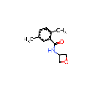 Cc1ccc(C)c(C(=O)NC2COC2)c1